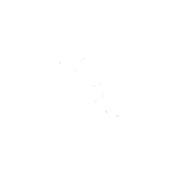 Cc1cccc(COc2ccc(OC(F)(F)F)cc2)c1